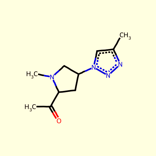 CC(=O)C1CC(n2cc(C)nn2)CN1C